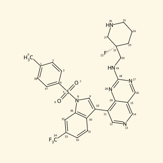 Cc1ccc(S(=O)(=O)n2cc(-c3cncc4cnc(NC[C@]5(F)CCCNC5)nc34)c3ccc(C(F)(F)F)cc32)cc1